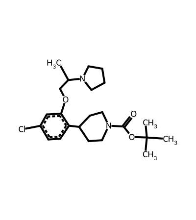 CC(COc1cc(Cl)ccc1C1CCN(C(=O)OC(C)(C)C)CC1)N1CCCC1